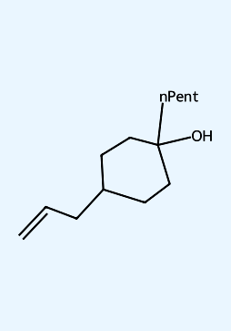 C=CCC1CCC(O)(CCCCC)CC1